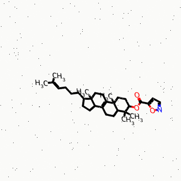 CC(C)=CCCCC1CCC2C3=C(CCC12C)C1(C)CCC(OC(=O)c2ccno2)C(C)(C)C1CC3